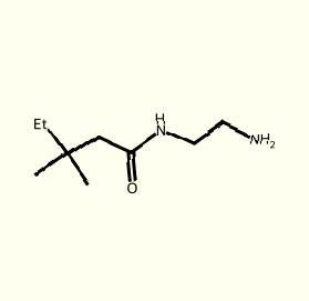 CCC(C)(C)CC(=O)NCCN